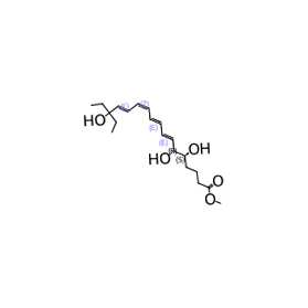 CCC(O)(/C=C/C=C\C=C\C=C\[C@@H](O)[C@@H](O)CCCC(=O)OC)CC